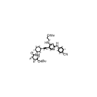 COCCNc1nc(Nc2ccc(C#N)cc2)ncc1C#C[C@@H]1CCC[C@H](NC(=O)[C@H](C)N(C)C(=O)OC(C)(C)C)C1